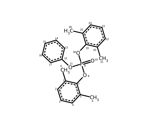 Cc1cccc(C)c1OP(=O)(Oc1ccccc1)Oc1c(C)cccc1C